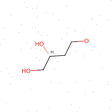 [O]CC[C@@H](O)CO